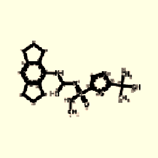 CNS(=O)(=NC(O)Nc1c2c(cc3c1CCC3)CCC2)c1cnc(C(C)(C)O)s1